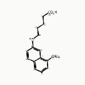 COc1cccc2ccc(OCCCCC(=O)O)cc12